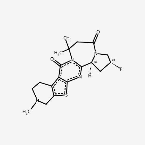 CN1CCc2c(sc3nc4n(c(=O)c23)C(C)(C)CC(=O)N2C[C@H](F)C[C@@H]42)C1